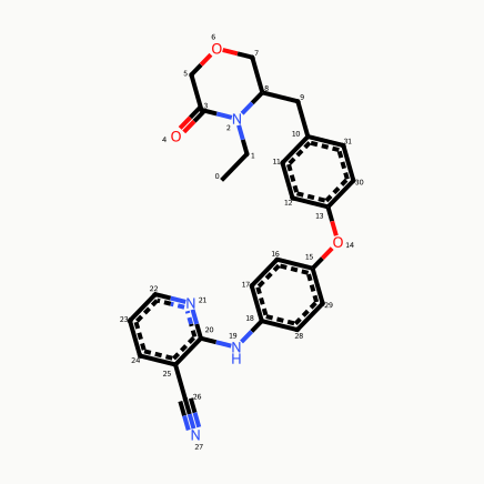 CCN1C(=O)COCC1Cc1ccc(Oc2ccc(Nc3ncccc3C#N)cc2)cc1